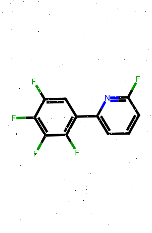 Fc1cccc(-c2cc(F)c(F)c(F)c2F)n1